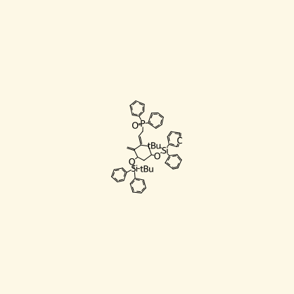 C=C1/C(=C/CP(=O)(c2ccccc2)c2ccccc2)CC(O[Si](c2ccccc2)(c2ccccc2)C(C)(C)C)CC1O[Si](c1ccccc1)(c1ccccc1)C(C)(C)C